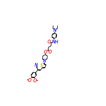 CCN(CC)c1ccc(NC(=O)CCC(=O)OC2CCN(c3ccc(C=C(C#N)c4ccc(OC)c(OC)c4)s3)CC2)cc1